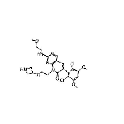 COCCNc1ncc2cc(-c3c(Cl)c(OC)cc(OC)c3Cl)c(=O)n(CCOC3CNC3)c2n1